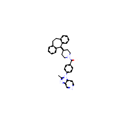 Cc1nc2cnccc2n1-c1ccc(C(=O)N2CCC(=C3c4ccccc4CCc4ccccc43)CC2)cc1